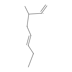 C=[C]C(C)C/C=C/CC